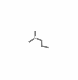 CN(C)CCI